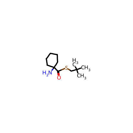 CC(C)(C)CSC(=O)C1(N)CCCCC1